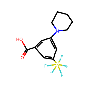 O=C(O)c1cc(N2CCCCC2)cc(S(F)(F)(F)(F)F)c1